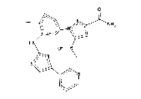 Cc1ccc(-n2nc(C(N)=O)cc2[S+](C)[O-])cc1Nc1nc(-c2cccnc2)cs1